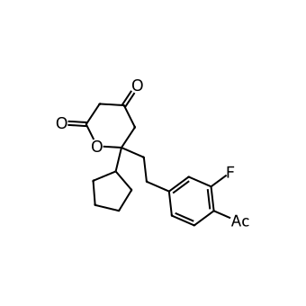 CC(=O)c1ccc(CCC2(C3CCCC3)CC(=O)CC(=O)O2)cc1F